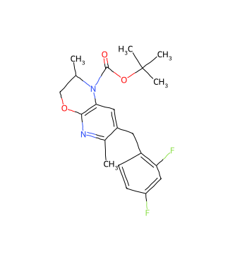 Cc1nc2c(cc1Cc1ccc(F)cc1F)N(C(=O)OC(C)(C)C)C(C)CO2